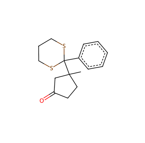 CC1(C2(c3ccccc3)SCCCS2)CCC(=O)C1